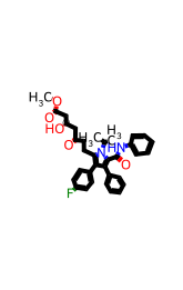 COC(=O)C[C@H](O)CC(=O)CCc1c(-c2ccc(F)cc2)c(-c2ccccc2)c(C(=O)Nc2ccccc2)n1C(C)C